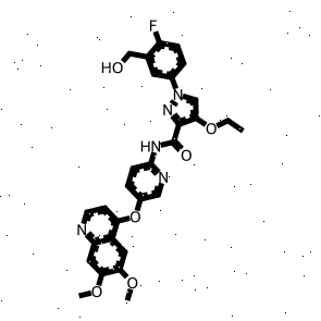 CCOc1cn(-c2ccc(F)c(CO)c2)nc1C(=O)Nc1ccc(Oc2ccnc3cc(OC)c(OC)cc23)cn1